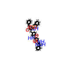 O=C(CC1Oc2ccc(C[C@H](NS(=O)(=O)Cc3ccccc3)C(=O)OCc3ccccc3)cc2NC1=O)Nc1nc2ccccc2[nH]1